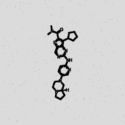 CN(C)C(=O)c1sc2cnc(Nc3ccc(N4CCN5CCC[C@H]5C4)cn3)nc2c1C1CCCC1